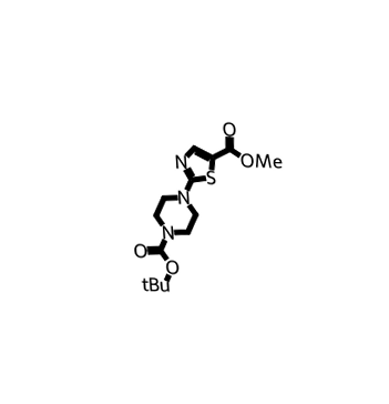 COC(=O)c1cnc(N2CCN(C(=O)OC(C)(C)C)CC2)s1